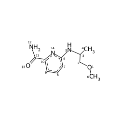 COCC(C)Nc1cc[c]c(C(N)=O)n1